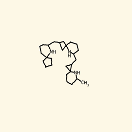 CC1CCCC2(CC2CC2CCCC3(CC(CC4CCCC5(CCCC5)N4)C3)N2)N1